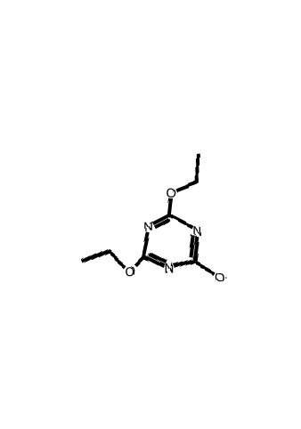 CCOc1nc([O])nc(OCC)n1